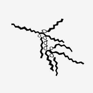 CCCCCCCCCCCCC(OCCCCCCCC)=C(OCCCCCCCC)C(CCCCCCCC)OCOCOC(CCCCCCCC)C(OCCCCCCCC)=C(CCCCCCCCCCCC)OCCCCCCCC